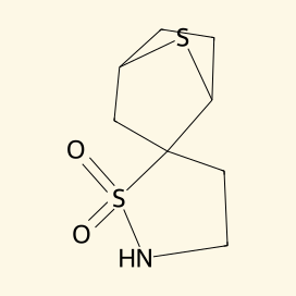 O=S1(=O)NCCC12CC1CCC2S1